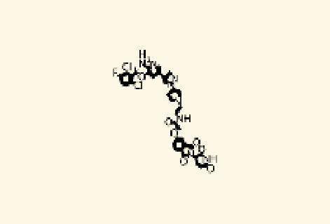 C[C@@H](Oc1cc(-c2cnn(C3CCN(CCNC(=O)COc4ccc5c(c4)C(=O)N(C4CCC(=O)NC4=O)C5=O)CC3)c2)cnc1N)c1c(Cl)ccc(F)c1Cl